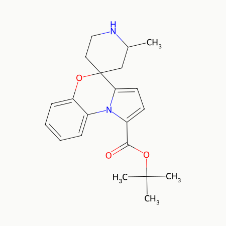 CC1CC2(CCN1)Oc1ccccc1-n1c(C(=O)OC(C)(C)C)ccc12